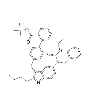 CCCCc1nc2ccc(N(Cc3ccccc3)C(=O)OCC)cc2n1Cc1ccc(-c2ccccc2C(=O)OC(C)(C)C)cc1